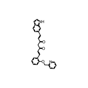 O=C(/C=C/c1ccc2cc[nH]c2c1)CC(=O)/C=C/c1ccccc1OCc1ccccn1